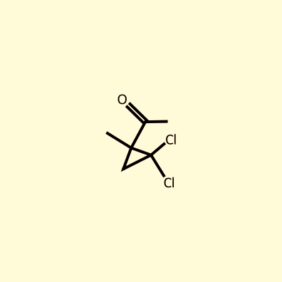 CC(=O)C1(C)CC1(Cl)Cl